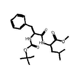 COC(=O)C(CC(C)C)NC(=O)C(Cc1ccccc1)NC(=O)OC(C)(C)C